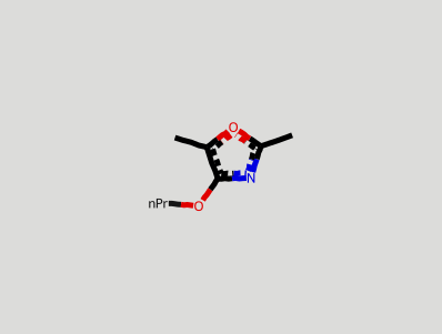 CCCOc1nc(C)oc1C